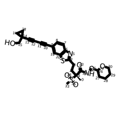 C[C@@](CCc1nc2ccc(C#CC#CC3(CO)CC3)cc2s1)(C(=O)NOC1CCCCO1)S(C)(=O)=O